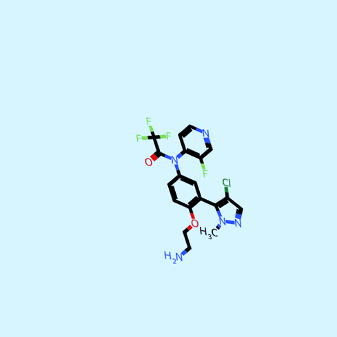 Cn1ncc(Cl)c1-c1cc(N(C(=O)C(F)(F)F)c2ccncc2F)ccc1OCCN